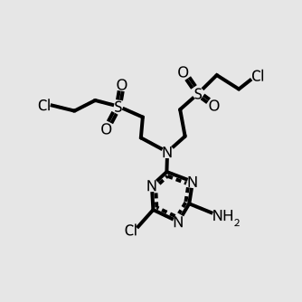 Nc1nc(Cl)nc(N(CCS(=O)(=O)CCCl)CCS(=O)(=O)CCCl)n1